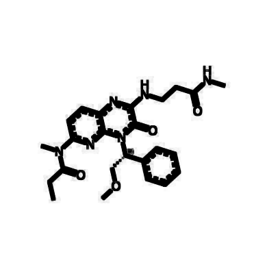 CCC(=O)N(C)c1ccc2nc(NCCC(=O)NC)c(=O)n([C@@H](COC)c3ccccc3)c2n1